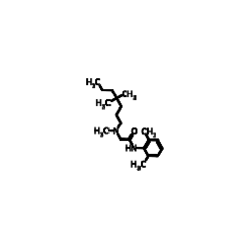 CCCC(C)(C)CCCN(C)CC(=O)Nc1c(C)cccc1C